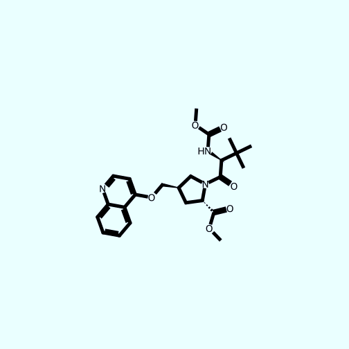 COC(=O)N[C@H](C(=O)N1C[C@H](COc2ccnc3ccccc23)C[C@H]1C(=O)OC)C(C)(C)C